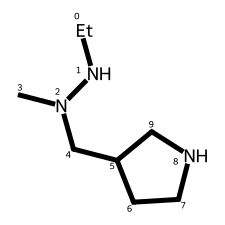 CCNN(C)CC1CCNC1